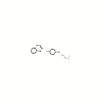 CN(C)CCNC(=O)c1ccc(CNC2=C(Cl)C(=O)c3ccccc3C2=O)cc1